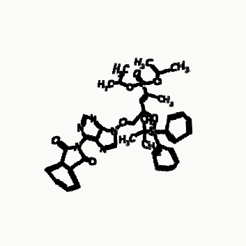 CC(=CC(COn1cnc2c(N3C(=O)c4ccccc4C3=O)ncnc21)O[Si](c1ccccc1)(c1ccccc1)C(C)(C)C)P(=O)(OC(C)C)OC(C)C